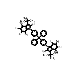 [2H]c1c([2H])c([2H])c2c(c1[2H])c(C(C)(C)C)c([2H])n2-c1ccc(C(c2ccccc2)(c2ccccc2)c2ccc(-n3c([2H])c(C(C)(C)C)c4c([2H])c([2H])c([2H])c([2H])c43)cc2)cc1